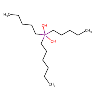 CCCCCCP(O)(O)(CCCCC)CCCCC